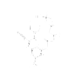 CCN(CC)C(=O)C(C#N)=Cc1cc(OC(=O)OC(C)CC(=O)OC(C)(C)C)c(O)c([N+](=O)[O-])c1